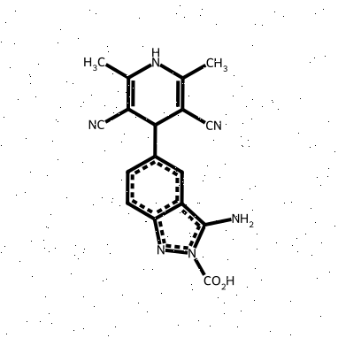 CC1=C(C#N)C(c2ccc3nn(C(=O)O)c(N)c3c2)C(C#N)=C(C)N1